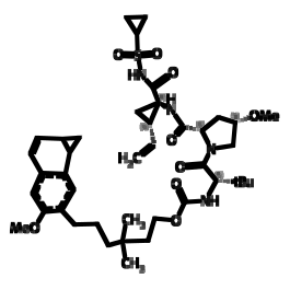 C=C[C@@H]1C[C@]1(NC(=O)[C@@H]1C[C@H](OC)CN1C(=O)[C@@H](NC(=O)OCCC(C)(C)CCCc1cc2c(cc1OC)C=CC1CC21)C(C)(C)C)C(=O)NS(=O)(=O)C1CC1